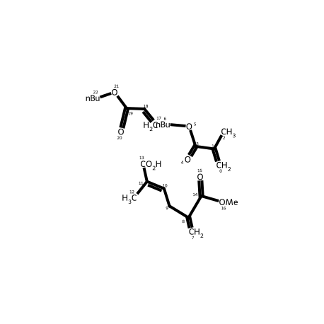 C=C(C)C(=O)OCCCC.C=C(CC=C(C)C(=O)O)C(=O)OC.C=CC(=O)OCCCC